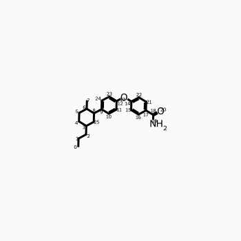 CCCC1CCC(C)C(c2ccc(Oc3ccc(C(N)=O)cc3)cc2)C1